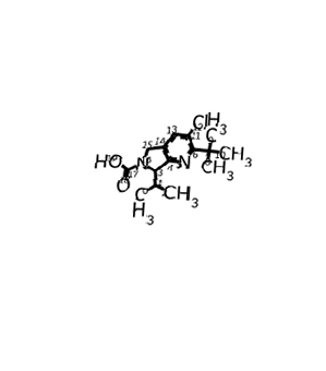 CC(C)C1c2nc(C(C)(C)C)c(Cl)cc2CN1C(=O)O